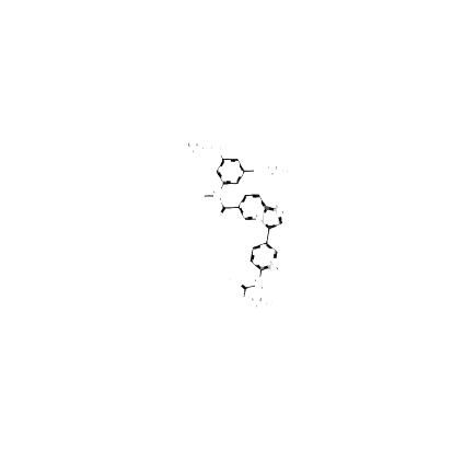 COC(=O)Nc1ccc(-c2cnc3ccc(C(=O)N(C)c4cc(OC)cc(OC)c4)cn23)cn1